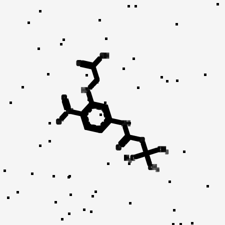 CC(C)(C)OC(=O)Nc1ccc([N+](=O)[O-])c(NCC(=O)O)c1